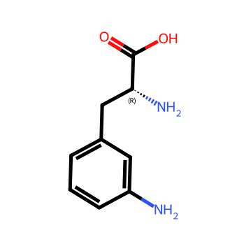 Nc1cccc(C[C@@H](N)C(=O)O)c1